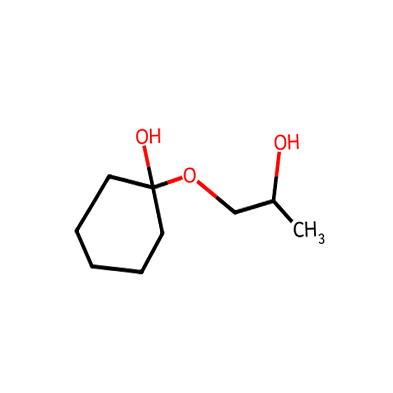 CC(O)COC1(O)CCCCC1